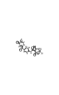 CN1CCN(C(=O)c2ccc(Cc3onc4c3C(=O)OC(C)(C)C4)cc2)CC1=O